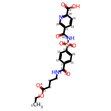 CCOC(=O)CCCNC(=O)c1ccc(S(=O)(=O)NC(=O)c2ccc(C(=O)O)nc2)cc1